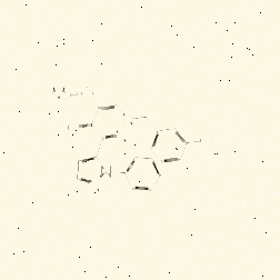 COc1cn(Cc2cccc(C(F)(F)F)c2)nc(-c2ccnn2-c2ccccc2)c1=O